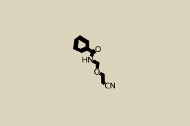 N#CCCOCNC(=O)c1ccccc1